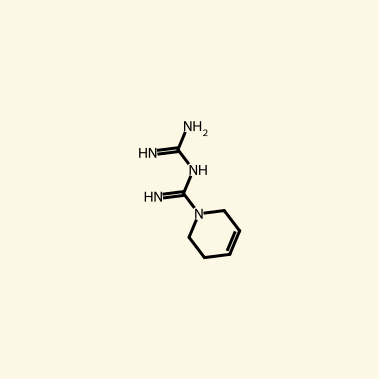 N=C(N)NC(=N)N1CC=CCC1